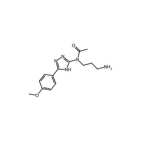 COc1ccc(-c2nnc(N(CCCN)C(C)=O)[nH]2)cc1